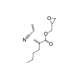 C=C(CCCC)C(=O)OCC1CO1.C=CC#N